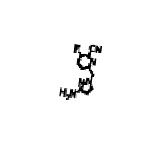 N#Cc1nc(Cn2ccc(N)n2)ccc1F